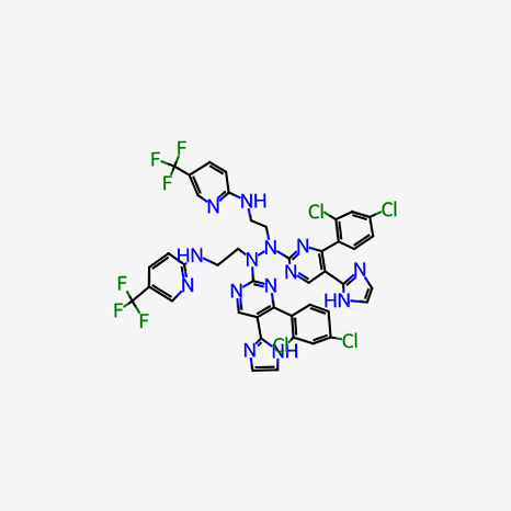 FC(F)(F)c1ccc(NCCN(c2ncc(-c3ncc[nH]3)c(-c3ccc(Cl)cc3Cl)n2)N(CCNc2ccc(C(F)(F)F)cn2)c2ncc(-c3ncc[nH]3)c(-c3ccc(Cl)cc3Cl)n2)nc1